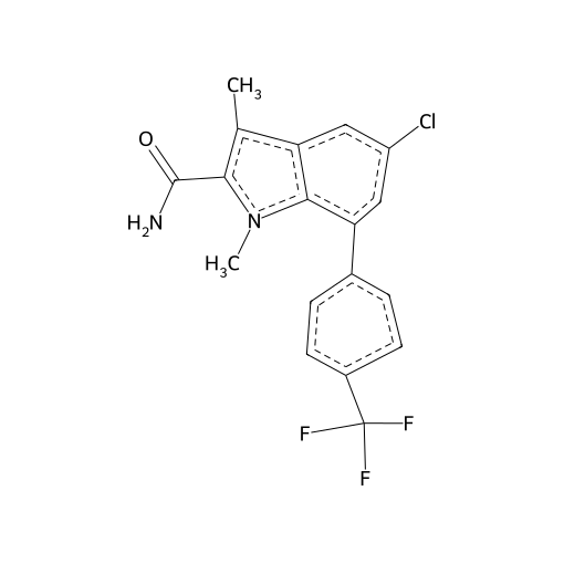 Cc1c(C(N)=O)n(C)c2c(-c3ccc(C(F)(F)F)cc3)cc(Cl)cc12